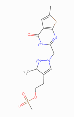 Cc1cc2c(=O)[nH]c(CN3C=C(CCOS(C)(=O)=O)C(C(F)(F)F)N3)nc2s1